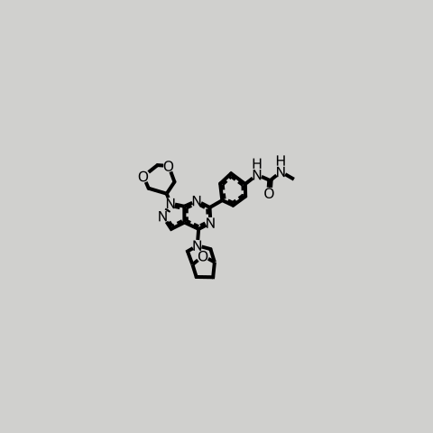 CNC(=O)Nc1ccc(-c2nc(N3CC4CCC(C3)O4)c3cnn(C4COCOC4)c3n2)cc1